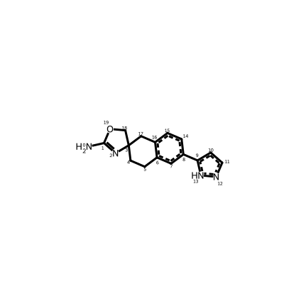 NC1=NC2(CCc3cc(-c4ccn[nH]4)ccc3C2)CO1